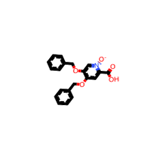 O=C(O)c1cc(OCc2ccccc2)c(OCc2ccccc2)c[n+]1[O-]